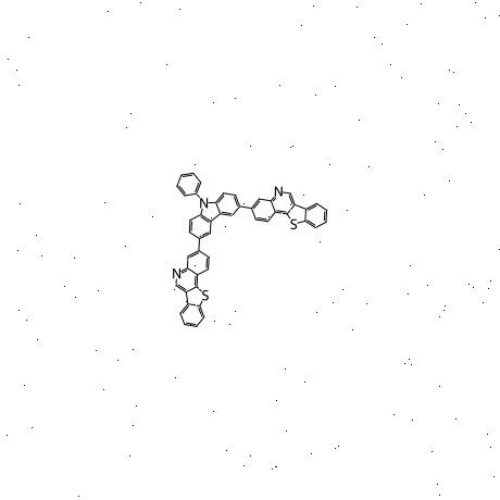 c1ccc(-n2c3ccc(-c4ccc5c(c4)ncc4c6ccccc6sc54)cc3c3cc(-c4ccc5c(c4)ncc4c6ccccc6sc54)ccc32)cc1